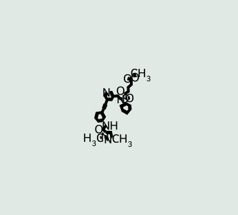 COC(=O)CCCC[S@@](=O)(=NC(=O)c1cncc(C#Cc2cccc(NC(=O)c3cc(C)nn3C)c2)c1)c1ccccc1